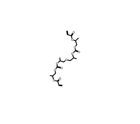 C=CC(=O)OC(C)COC(=O)OC(C)COCC(C)OC(=O)OCC(C)OC(=O)C=C